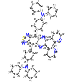 c1ccc(N(c2ccccc2)c2ccc(-c3c4nsnc4c(-c4ccc(N(c5ccccc5)c5ccccc5)cc4)c4nc5c6cccnc6c6ncccc6c5nc34)cc2)cc1